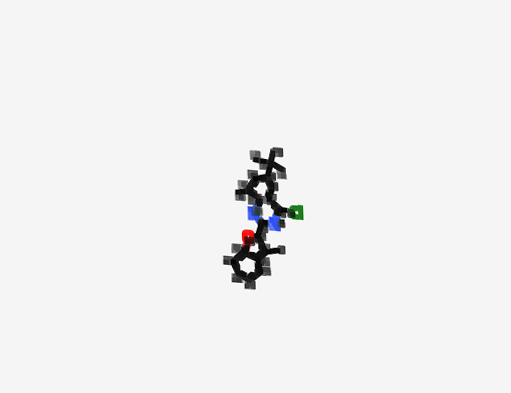 Cc1c(-c2nc(Cl)c3cc(C(C)(C)C)cc(C)c3n2)oc2ccccc12